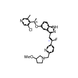 COC1CCN(Cc2ccc(/C(F)=C/c3n[nH]c4ccc(O[C@H](C)c5c(C)cncc5Cl)cc34)cn2)C1